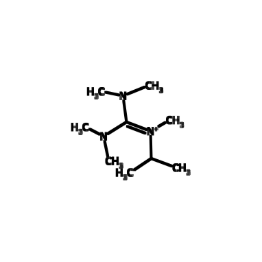 CC(C)[N+](C)=C(N(C)C)N(C)C